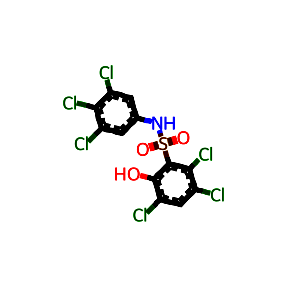 O=S(=O)(Nc1cc(Cl)c(Cl)c(Cl)c1)c1c(O)c(Cl)cc(Cl)c1Cl